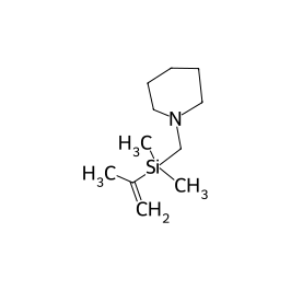 C=C(C)[Si](C)(C)CN1CCCCC1